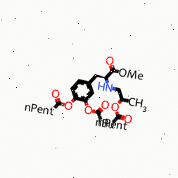 CCCCCC(=O)Oc1ccc(C[C@H](NCC(C)OC(=O)CCCC)C(=O)OC)cc1OC(=O)CCCCC